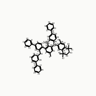 Cc1cc(-c2ccc(-c3ccccc3)cc2Cc2cccc(-c3ccccc3)c2)c2c(c1)N(c1cc3c(cc1C)C(C)(C)CCC3(C)C)c1ccc(-c3ccccc3)cc1B2